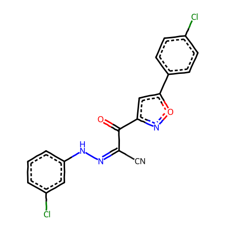 N#CC(=NNc1cccc(Cl)c1)C(=O)c1cc(-c2ccc(Cl)cc2)on1